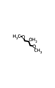 COCCCOC.O